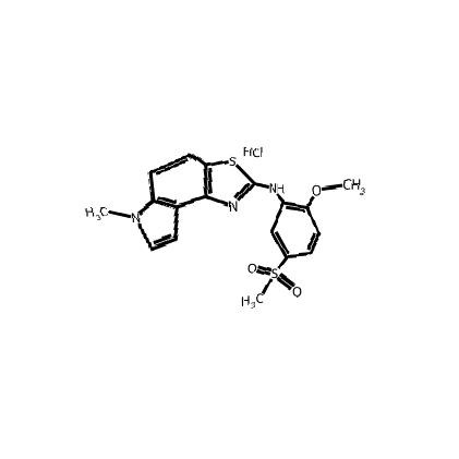 COc1ccc(S(C)(=O)=O)cc1Nc1nc2c(ccc3c2ccn3C)s1.Cl